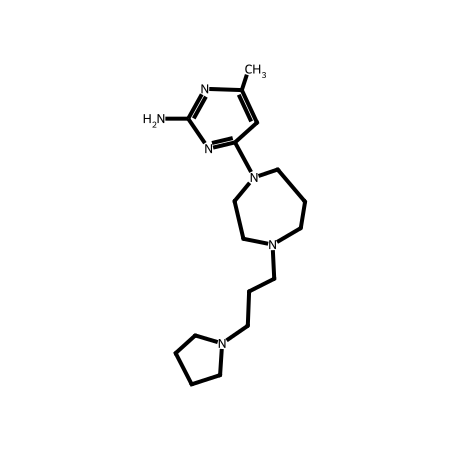 Cc1cc(N2CCCN(CCCN3CCCC3)CC2)nc(N)n1